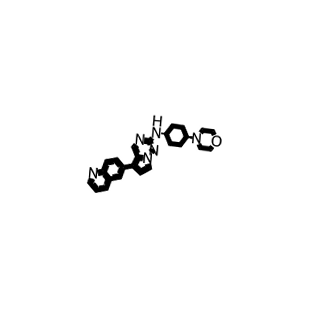 c1cnc2ccc(-c3ccn4nc(N[C@H]5CC[C@H](N6CCOCC6)CC5)ncc34)cc2c1